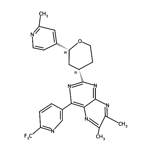 Cc1cc([C@H]2C[C@@H](c3nc(-c4ccc(C(F)(F)F)nc4)c4nc(C)c(C)nc4n3)CCO2)ccn1